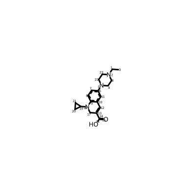 CCN1CCN(c2ccc3c(c2)C=C(C(=O)O)CN3C2CC2)CC1